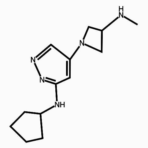 CNC1CN(c2cnnc(NC3CCCC3)c2)C1